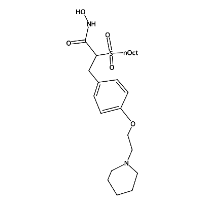 CCCCCCCCS(=O)(=O)C(Cc1ccc(OCCN2CCCCC2)cc1)C(=O)NO